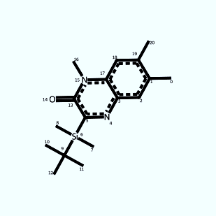 Cc1cc2nc([Si](C)(C)C(C)(C)C)c(=O)n(C)c2cc1C